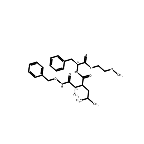 COCCOC(=O)[C@H](Cc1ccccc1)NC(=O)C(CC(C)C)[C@H](C)C(=O)NOCc1ccccc1